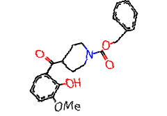 COc1cccc(C(=O)C2CCN(C(=O)OCc3ccccc3)CC2)c1O